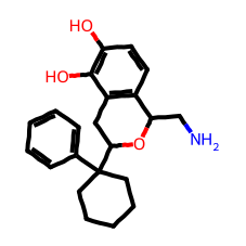 NCC1OC(C2(c3ccccc3)CCCCC2)Cc2c1ccc(O)c2O